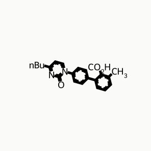 CCCCc1ccn(-c2ccc(-c3cccc(C)c3C(=O)O)cc2)c(=O)n1